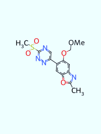 COCOc1cc2nc(C)oc2cc1-c1cnc(S(C)(=O)=O)nn1